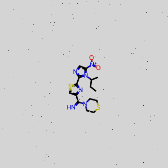 CCC(C)n1c([N+](=O)[O-])cnc1-c1nc(C(=N)N2CCSCC2)cs1